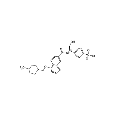 CCS(=O)(=O)c1ccc([C@H](CO)NC(=O)c2ccc3c(OCC4CCC(C(F)(F)F)CC4)ncnc3c2)cc1